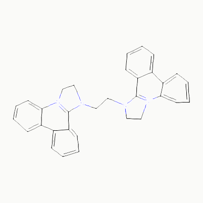 c1ccc2c(c1)c1[n+](c3ccccc23)CCN1CCN1CC[n+]2c1c1ccccc1c1ccccc12